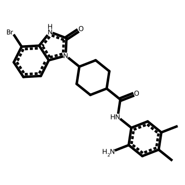 Cc1cc(N)c(NC(=O)C2CCC(n3c(=O)[nH]c4c(Br)cccc43)CC2)cc1C